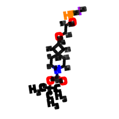 CC(C)(C)OC(=O)N1CCC2(CC1)CC(OCCOPI)C2